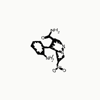 NC(=O)c1cnn2cc([N+](=O)[O-])cc2c1-c1ccccc1N